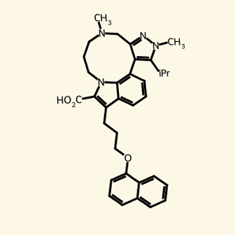 CC(C)c1c2c(nn1C)CN(C)CCCn1c(C(=O)O)c(CCCOc3cccc4ccccc34)c3cccc-2c31